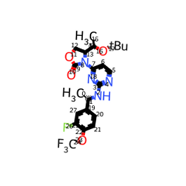 C[C@H](Nc1nccc(N2C(=O)OCC2[C@@H](C)OC(C)(C)C)n1)c1ccc(OC(F)(F)F)c(F)c1